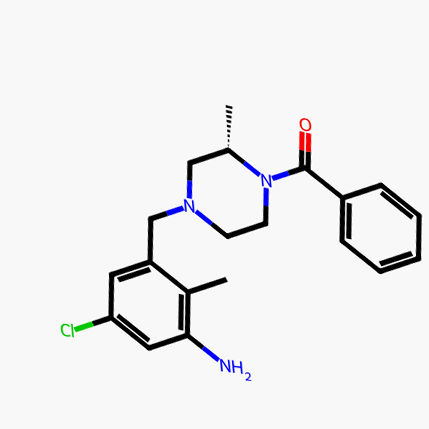 Cc1c(N)cc(Cl)cc1CN1CCN(C(=O)c2ccccc2)[C@@H](C)C1